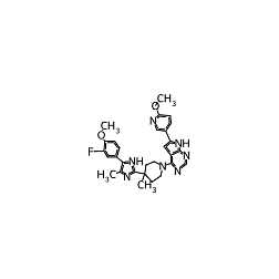 COc1ccc(-c2cc3c(N4CCC(C)(c5nc(C)c(-c6ccc(OC)c(F)c6)[nH]5)CC4)ncnc3[nH]2)cn1